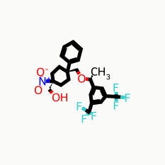 C[C@@H](OC[C@]1(c2ccccc2)CC[C@](CO)([N+](=O)[O-])CC1)c1cc(C(F)(F)F)cc(C(F)(F)F)c1